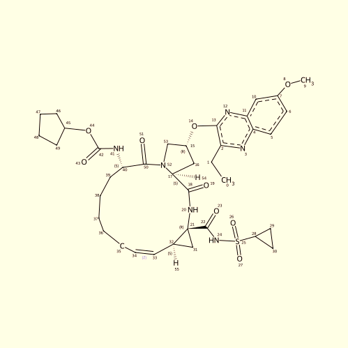 CCc1nc2ccc(OC)cc2nc1O[C@@H]1C[C@H]2C(=O)N[C@]3(C(=O)NS(=O)(=O)C4CC4)C[C@H]3/C=C\CCCCC[C@H](NC(=O)OC3CCCC3)C(=O)N2C1